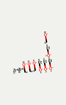 CC[O-].CC[O-].CC[O-].CC[O-].C[O-].C[O-].C[O-].C[O-].[Zr+4].[Zr+4]